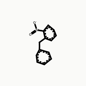 O=[N+]([O-])c1ccccc1[CH]c1ccccc1